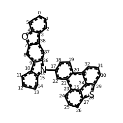 c1ccc2c(c1)oc1cc3c4ccccc4n(-c4ccc5c(c4)c4cccc6sc7cccc5c7c64)c3cc12